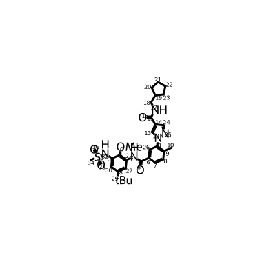 COc1c(NC(=O)c2ccc(C)c(-n3cc(C(=O)NCC4CCCC4)cn3)c2)cc(C(C)(C)C)cc1NS(C)(=O)=O